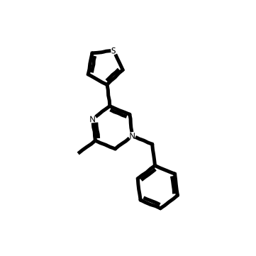 CC1=NC(c2ccsc2)=CN(Cc2ccccc2)C1